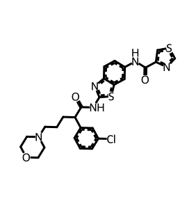 O=C(Nc1ccc2nc(NC(=O)C(CCCN3CCOCC3)c3cccc(Cl)c3)sc2c1)c1cscn1